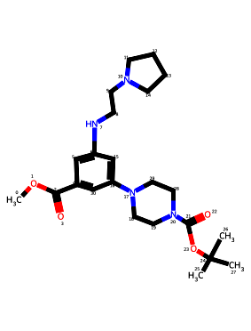 COC(=O)c1cc(NCCN2CCCC2)cc(N2CCN(C(=O)OC(C)(C)C)CC2)c1